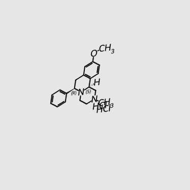 COc1ccc2c(c1)C[C@H](c1ccccc1)N1CCN(C)C[C@H]21.Cl.Cl